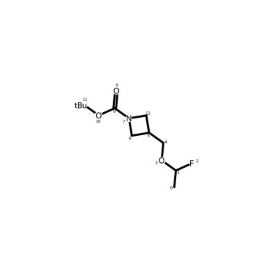 CC(F)OCC1CN(C(=O)OC(C)(C)C)C1